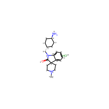 CC(=O)N1CCC2(CC1)C(=O)N(C[C@H]1CC[C@H](N)CC1)c1ccccc12.Cl